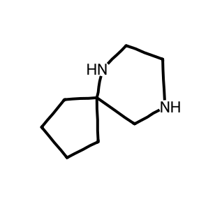 C1CCC2(C1)CNCCN2